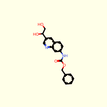 O=C(Nc1ccc2cc(C(O)CO)cnc2c1)OCc1ccccc1